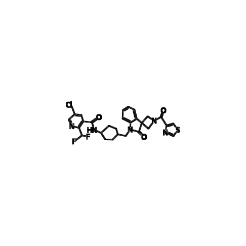 O=C(NC1CCC(CN2C(=O)C3(CN(C(=O)c4cscn4)C3)c3ccccc32)CC1)c1cc(Cl)cnc1C(F)F